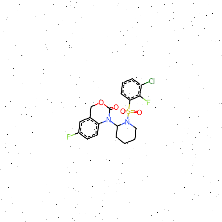 O=C1OCc2cc(F)ccc2N1C1CCCCN1S(=O)(=O)c1cccc(Cl)c1F